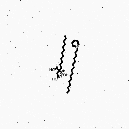 CCCCCCCCCCCCC(CC(=O)O)(C(=O)O)S(=O)(=O)O.CCCCCCCCCCCCCCCC[n+]1ccccc1